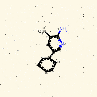 Nc1ncc(-c2ccccc2)cc1[N+](=O)[O-]